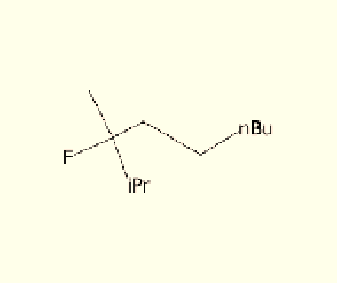 CCCCCCC(C)(F)C(C)C